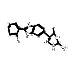 CC1CC(O)NN=C1c1ccc2nc(-c3ccccc3Cl)oc2c1